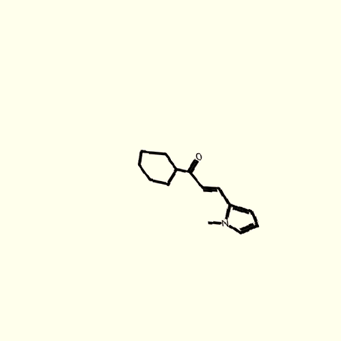 Cn1cccc1/C=C/C(=O)C1CCCCC1